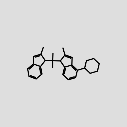 CC1=Cc2ccccc2C1C(C)(C)C1C(C)=Cc2c(C3CCCCC3)cccc21